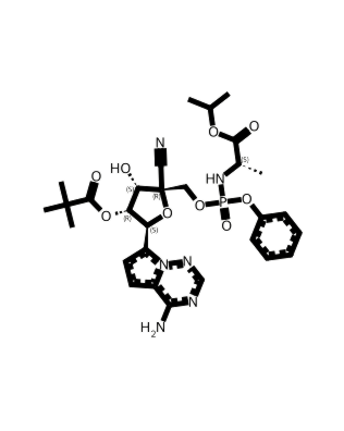 CC(C)OC(=O)[C@H](C)NP(=O)(OC[C@@]1(C#N)O[C@@H](c2ccc3c(N)ncnn23)[C@H](OC(=O)C(C)(C)C)[C@@H]1O)Oc1ccccc1